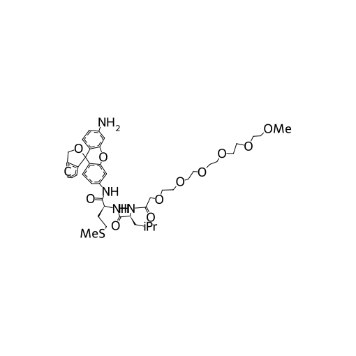 COCCOCCOCCOCCOCCOCC(=O)N[C@@H](CC(C)C)C(=O)N[C@@H](CCSC)C(=O)Nc1ccc2c(c1)Oc1cc(N)ccc1C21OCc2ccccc21